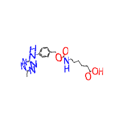 Cc1nnc(Nc2ccc(COC(=O)NCCCCCC(=O)O)cc2)nn1